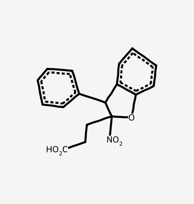 O=C(O)CCC1([N+](=O)[O-])Oc2ccccc2C1c1ccccc1